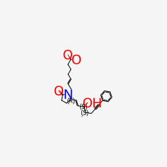 COC(=O)CCCC=CCN1C(=O)CC[C@@H]1C=C[C@@H](O)[C@@H](C)CC#Cc1ccccc1